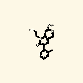 CSc1ncc2cc(-c3ccccc3C)c(=O)n(CCO)c2n1